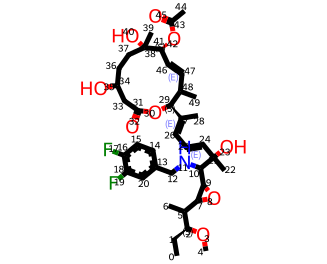 CC[C@H](OC)C(C)C1OC1C(NCc1ccc(F)c(F)c1)C(C)(O)/C=C/C=C(\C)[C@H]1OC(=O)CC(O)CCC(C)(O)[C@@H](OC(C)=O)/C=C/C1C